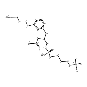 CCCCCCCCCCCCCOc1cccc(CC(COP(=O)(O)OCCCC[N+](C)(C)CC)CC(=O)CC)c1